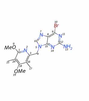 COc1nc(Cn2cnc3c(Br)nc(N)nc32)c(C)c(OC)c1C